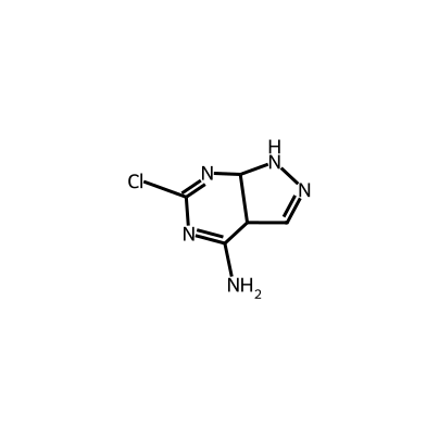 NC1=NC(Cl)=NC2NN=CC12